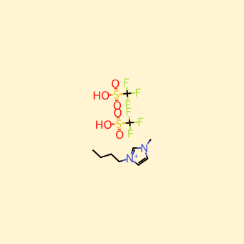 CCCC[n+]1ccn(C)c1.O=S(=O)(O)C(F)(F)F.O=S(=O)(O)C(F)(F)F